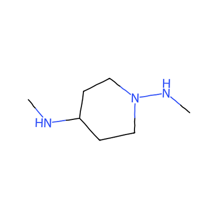 CNC1CCN(NC)CC1